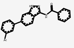 CC(=O)c1cccc(-c2ccc3c(NC(=O)c4ccccc4)n[nH]c3c2)c1